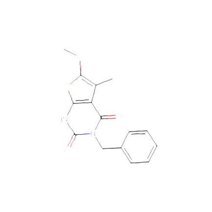 COc1sc2[nH]c(=O)n([C@@H](C)c3ccccc3)c(=O)c2c1C